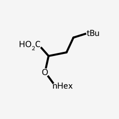 CCCCCCOC(CCC(C)(C)C)C(=O)O